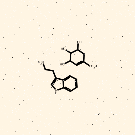 NCCc1c[nH]c2ccccc12.O=C(O)C1=CC(O)C(O)C(O)C1